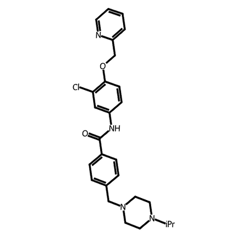 CC(C)N1CCN(Cc2ccc(C(=O)Nc3ccc(OCc4ccccn4)c(Cl)c3)cc2)CC1